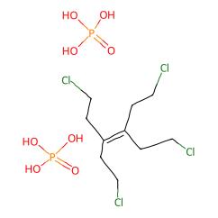 ClCCC(CCCl)=C(CCCl)CCCl.O=P(O)(O)O.O=P(O)(O)O